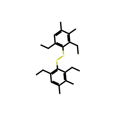 CCc1cc(C)c(C)c(CC)c1SSc1c(CC)cc(C)c(C)c1CC